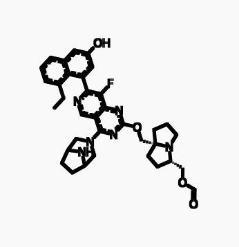 CCc1cccc2cc(O)cc(-c3ncc4c(N5CC6CCC(C5)N6)nc(OC[C@]56CCCN5[C@H](COC=O)CC6)nc4c3F)c12